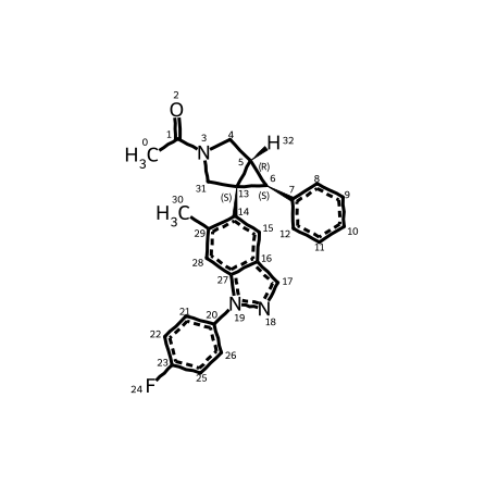 CC(=O)N1C[C@@H]2[C@@H](c3ccccc3)[C@]2(c2cc3cnn(-c4ccc(F)cc4)c3cc2C)C1